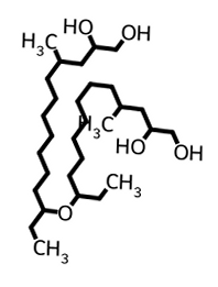 CCC(CCCCCCCC(C)CC(O)CO)OC(CC)CCCCCCCC(C)CC(O)CO